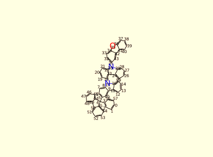 c1ccc(C2(c3ccc4c(c3)c3ccccc3n4-c3cccc4c3c3ccccc3n4-c3ccc4oc5ccccc5c4c3)c3ccccc3-c3ccccc32)cc1